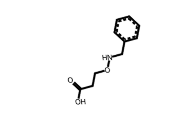 O=C(O)CCONCc1ccccc1